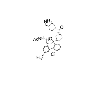 CC(=O)NCCCC(O)(c1cccc(Cl)c1-c1cccc(C)c1)C1CCCN(C(=O)[C@H]2CC[C@H](CN)CC2)C1